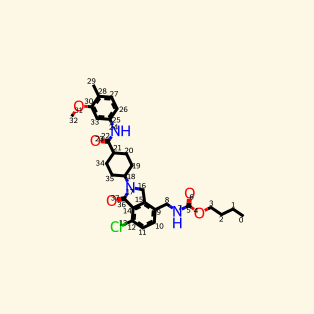 CCCCOC(=O)NCc1ccc(Cl)c2c1CN(C1CCC(C(=O)Nc3ccc(C)c(OC)c3)CC1)C2=O